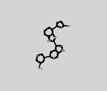 CC(=O)c1ccc(-c2cccc3[nH]c(-c4n[nH]c5cnc(-c6cncc(N)c6)cc45)nc23)s1